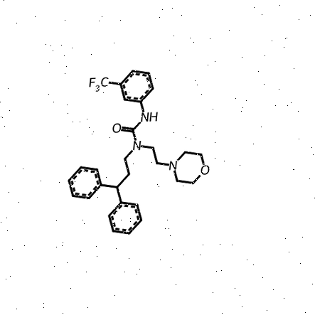 O=C(Nc1cccc(C(F)(F)F)c1)N(CCC(c1ccccc1)c1ccccc1)CCN1CCOCC1